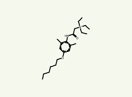 CCCCCCOc1cc(C)c(NC(=O)C[N+](CC)(CC)CC)c(C)c1